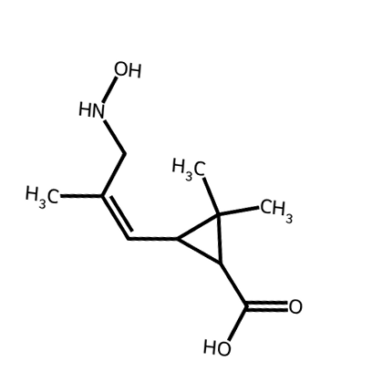 CC(=CC1C(C(=O)O)C1(C)C)CNO